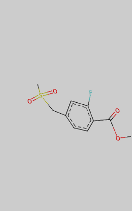 COC(=O)c1ccc(CS(C)(=O)=O)cc1F